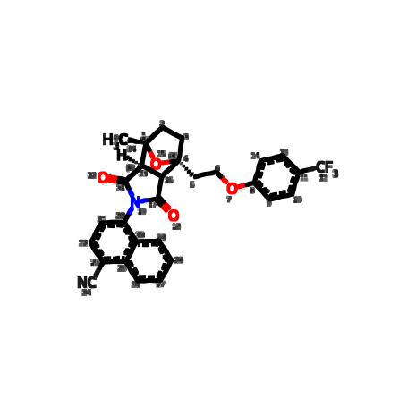 C[C@@]12CC[C@](CCOc3ccc(C(F)(F)F)cc3)(O1)C1C(=O)N(c3ccc(C#N)c4ccccc34)C(=O)[C@H]12